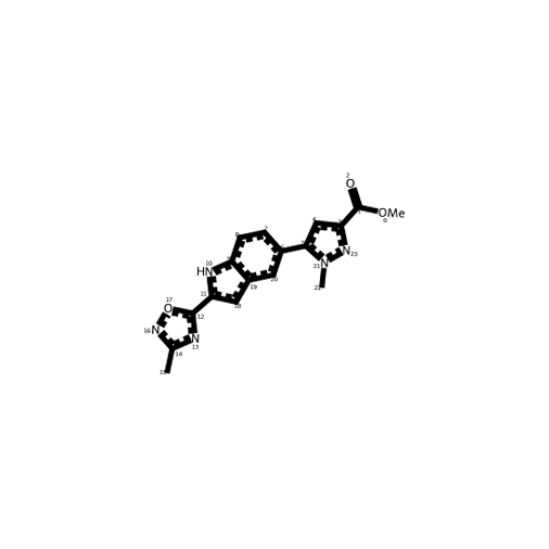 COC(=O)c1cc(-c2ccc3[nH]c(-c4nc(C)no4)cc3c2)n(C)n1